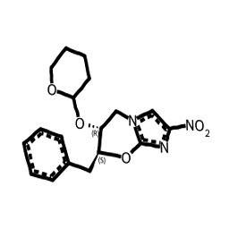 O=[N+]([O-])c1cn2c(n1)O[C@@H](Cc1ccccc1)[C@H](OC1CCCCO1)C2